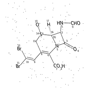 O=CNC1C(=O)N2C(C(=O)O)=C(C=C(Br)Br)C[S+]([O-])[C@@H]12